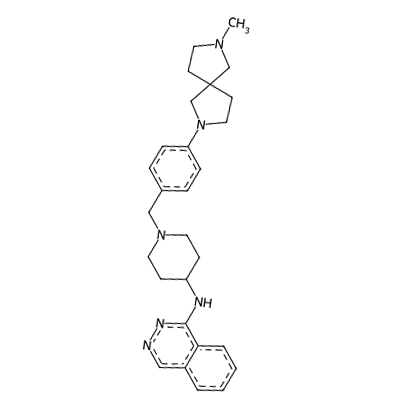 CN1CCC2(CCN(c3ccc(CN4CCC(Nc5nncc6ccccc56)CC4)cc3)C2)C1